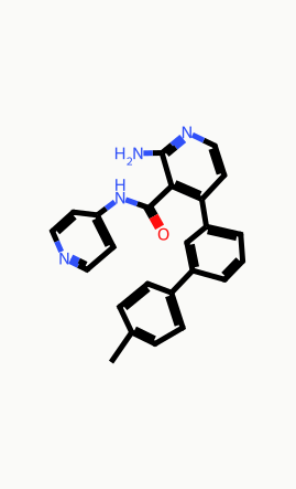 Cc1ccc(-c2cccc(-c3ccnc(N)c3C(=O)Nc3ccncc3)c2)cc1